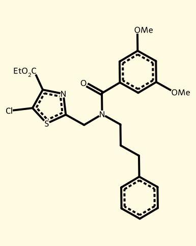 CCOC(=O)c1nc(CN(CCCc2ccccc2)C(=O)c2cc(OC)cc(OC)c2)sc1Cl